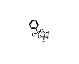 O=S(=O)(OC(F)(F)S)c1ccccc1